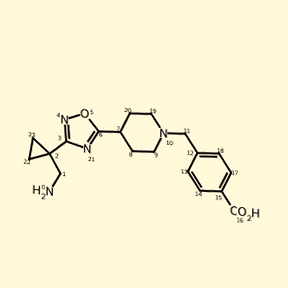 NCC1(c2noc(C3CCN(Cc4ccc(C(=O)O)cc4)CC3)n2)CC1